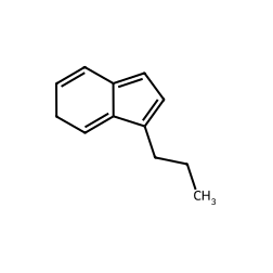 CCCC1=CC=C2C=CCC=C21